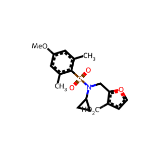 COc1cc(C)c(S(=O)(=O)N(Cc2occc2C(=O)O)C2CC2)c(C)c1